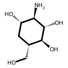 N[C@H]1[C@H](O)[C@@H](O)[C@H](CO)C[C@@H]1O